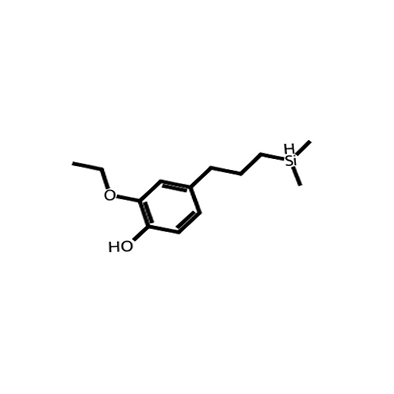 CCOc1cc(CCC[SiH](C)C)ccc1O